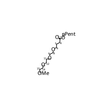 CCCCCOC(=O)CCCOCCOCCOCCOC